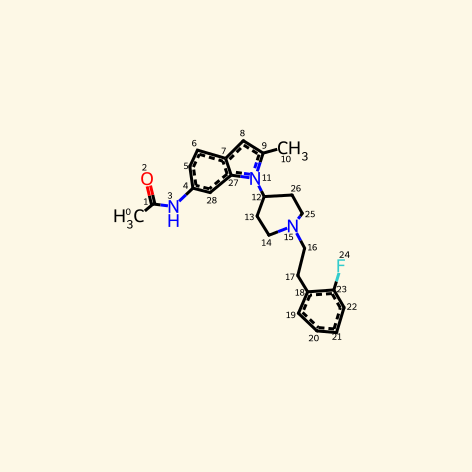 CC(=O)Nc1ccc2cc(C)n(C3CCN(CCc4ccccc4F)CC3)c2c1